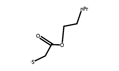 CCCCCOC(=O)C[S]